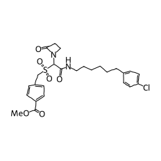 COC(=O)c1ccc(CS(=O)(=O)C(C(=O)NCCCCCCc2ccc(Cl)cc2)N2CCC2=O)cc1